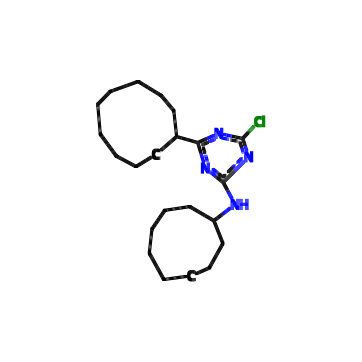 Clc1nc(NC2CCCCCCCC2)nc(C2CCCCCCCCC2)n1